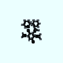 O=C1C=C(N2CC2)C(=O)C(N2CC2)=C1N1CC1.c1ccc(-c2ccccn2)cc1